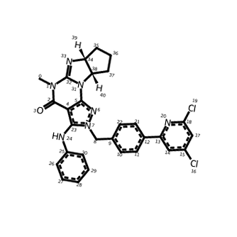 CN1C(=O)c2c(nn(Cc3ccc(-c4cc(Cl)cc(Cl)n4)cc3)c2Nc2ccccc2)N2C1=N[C@@H]1CCC[C@@H]12